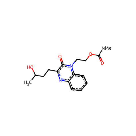 CNC(=O)OCCn1c(=O)c(CCC(C)O)nc2ccccc21